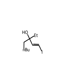 CCCCCC(O)(C=CI)CC